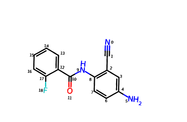 N#Cc1cc(N)ccc1NC(=O)c1ccccc1F